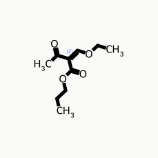 CCCOC(=O)/C(=C\OCC)C(C)=O